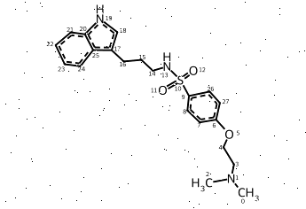 CN(C)CCOc1ccc(S(=O)(=O)NCCCc2c[nH]c3ccccc23)cc1